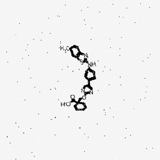 Cc1ccc2nc(Nc3ccc(-c4cnc(OCC5(C(=O)O)CCCCC5)nc4)cc3)sc2c1